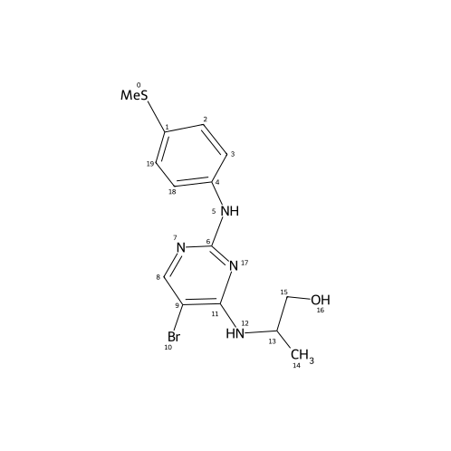 CSc1ccc(Nc2ncc(Br)c(NC(C)CO)n2)cc1